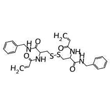 C=CC(=O)NC(CSSCC(NC(=O)C=C)C(=O)NCc1ccccc1)C(=O)NCc1ccccc1